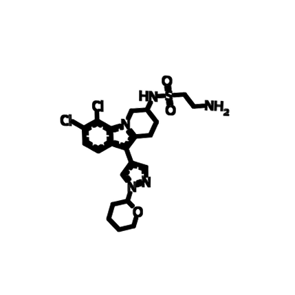 NCCS(=O)(=O)NC1CCc2c(-c3cnn(C4CCCCO4)c3)c3ccc(Cl)c(Cl)c3n2C1